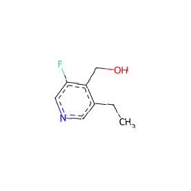 CCc1cncc(F)c1CO